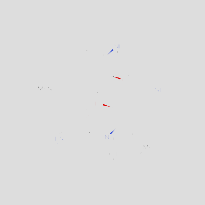 CNC[C@@H]1CC[C@@H](N)[C@@H](O[C@H]2[C@H](O)[C@H](N(C)C(=O)CN)[C@@H](OC)C[C@H]2N)O1